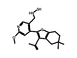 C=C(C)c1c(-c2cc(OC)ncc2CNS)sc2c1CC(C)(C)CC2